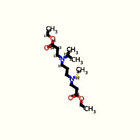 CCOC(=O)CCN(CCCN(CCC(=O)OCC)C(C)C)SC